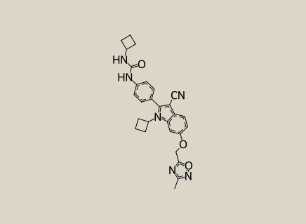 Cc1noc(COc2ccc3c(C#N)c(-c4ccc(NC(=O)NC5CCC5)cc4)n(C4CCC4)c3c2)n1